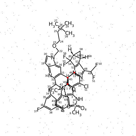 Cn1nc(NS(C)(=O)=O)c2c(Cl)ccc(-c3cc4c(ccn4COCC[Si](C)(C)C)nc3C(Cc3cc(F)cc(F)c3)N(C(=O)Cn3nc(C(F)F)c4c3C(F)(F)[C@@H]3C[C@H]43)c3ccccc3)c21